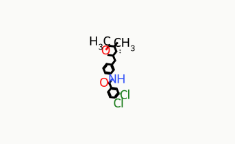 CC1[C]C(Cc2cccc(NC(=O)c3ccc(Cl)c(Cl)c3)c2)COC1C